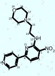 O=[N+]([O-])c1ccc(-c2ccncc2)nc1NCCN1CCOCC1